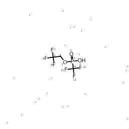 O=P(O)(OCC(F)(F)F)C(F)(F)F